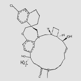 CN1CCC/C=C/[C@H](O)[C@@H]2CC[C@H]2CN2C[C@@]3(CCCc4cc(Cl)ccc43)COc3ccc(cc32)[C@@](O)(C(=O)O)CC1=O